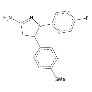 CSc1ccc(C2CC(N)=NN2c2ccc(F)cc2)cc1